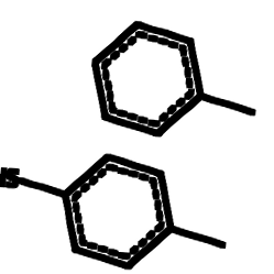 Cc1ccc(S)cc1.Cc1ccccc1